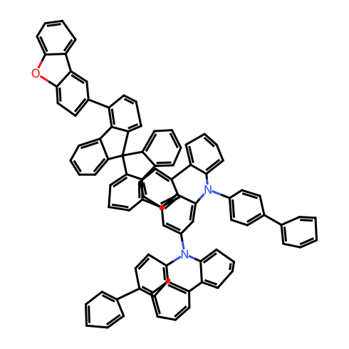 c1ccc(-c2ccc(N(c3cc(-c4cccc5c4-c4ccccc4C54c5ccccc5-c5c(-c6ccc7oc8ccccc8c7c6)cccc54)cc(N(c4ccc(-c5ccccc5)cc4)c4ccccc4-c4ccccc4)c3)c3ccccc3-c3ccccc3)cc2)cc1